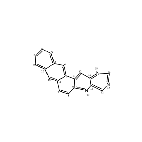 c1ccc2cc3c(ccc4nc5cncnc5cc43)cc2c1